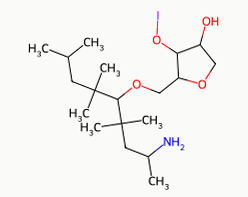 CC(C)CC(C)(C)C(OCC1OCC(O)C1OI)C(C)(C)CC(C)N